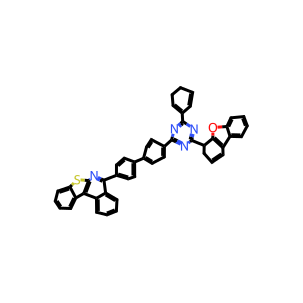 C1=CC(c2nc(-c3ccc(-c4ccc(-c5nc6sc7ccccc7c6c6ccccc56)cc4)cc3)nc(C3CC=Cc4c3oc3ccccc43)n2)=CCC1